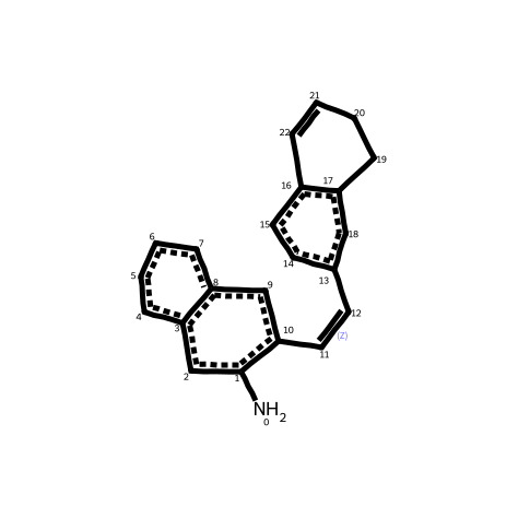 Nc1cc2ccccc2cc1/C=C\c1ccc2c(c1)CCC=C2